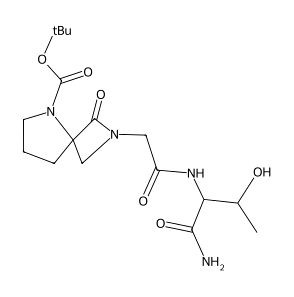 CC(O)C(NC(=O)CN1CC2(CCCN2C(=O)OC(C)(C)C)C1=O)C(N)=O